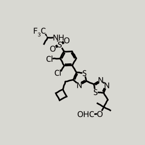 C[C@H](NS(=O)(=O)c1ccc(-c2sc(-c3nnc(CC(C)(C)OC=O)s3)nc2CC2CCC2)c(Cl)c1Cl)C(F)(F)F